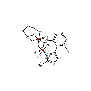 Cc1onc(-c2c(Cl)cccc2Cl)c1C(=O)OC1CC2CCC(C1)N2C(=O)OC(C)(C)C